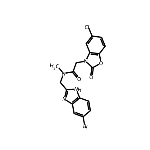 CN(Cc1nc2cc(Br)ccc2[nH]1)C(=O)Cn1c(=O)oc2ccc(Cl)cc21